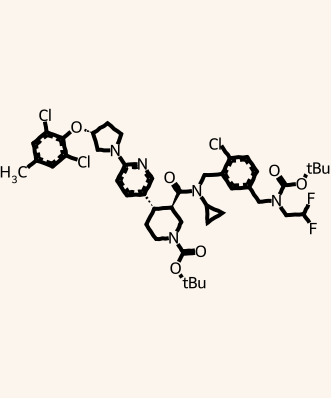 Cc1cc(Cl)c(O[C@@H]2CCN(c3ccc([C@H]4CCN(C(=O)OC(C)(C)C)C[C@@H]4C(=O)N(Cc4cc(CN(CC(F)F)C(=O)OC(C)(C)C)ccc4Cl)C4CC4)cn3)C2)c(Cl)c1